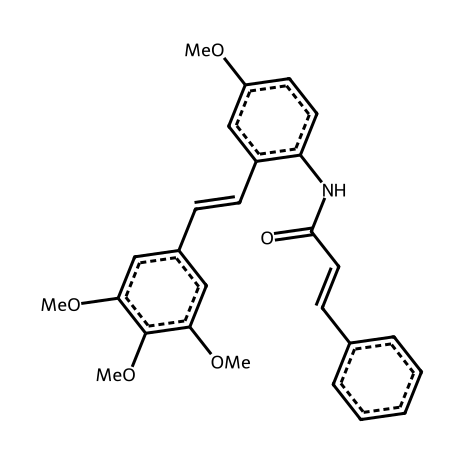 COc1ccc(NC(=O)C=Cc2ccccc2)c(C=Cc2cc(OC)c(OC)c(OC)c2)c1